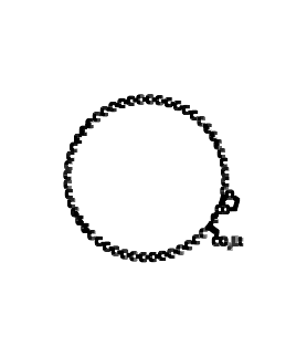 CCOC(=O)C=C1CCCCCCCCCCCCCCCCCCCCCCCCCCCCCCCCCCCCCCCCCCCCCCCCC2(CC1)OCCO2